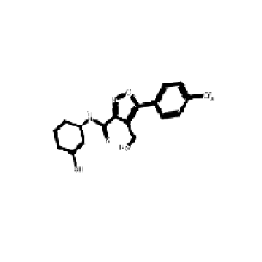 O=C(N[C@@H]1CCC[C@H](O)C1)c1noc(-c2ccc(C(F)(F)F)cc2)c1CO